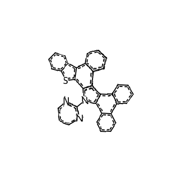 c1cnc(-n2c3c4ccccc4c4ccccc4c3c3c4ccccc4c4c5ccccc5sc4c32)nc1